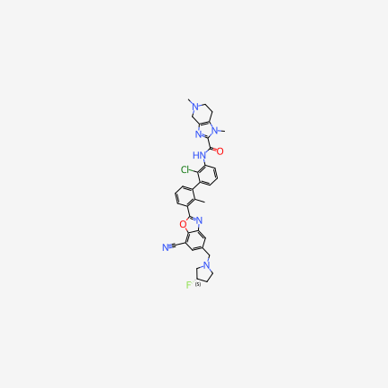 Cc1c(-c2nc3cc(CN4CC[C@H](F)C4)cc(C#N)c3o2)cccc1-c1cccc(NC(=O)c2nc3c(n2C)CCN(C)C3)c1Cl